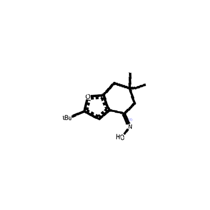 CC1(C)C/C(=N/O)c2cc(C(C)(C)C)oc2C1